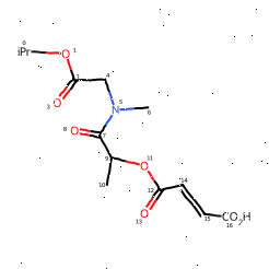 CC(C)OC(=O)CN(C)C(=O)C(C)OC(=O)C=CC(=O)O